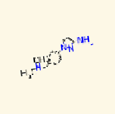 CN(C)Cc1ccc(-n2ccc(N)n2)cc1